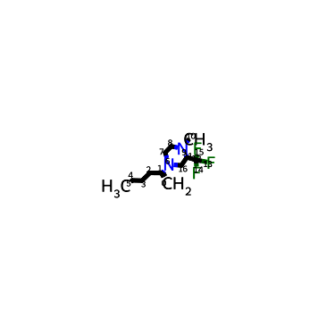 C=C(CCCC)N1CCN(C)C(C(F)(F)F)C1